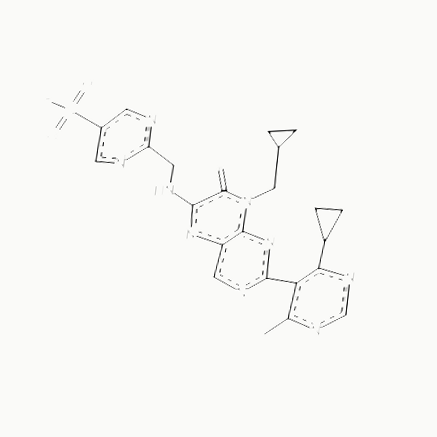 CCS(=O)(=O)c1cnc(CNc2nc3cnc(-c4c(C)ncnc4C4CC4)nc3n(CC3CC3)c2=O)nc1